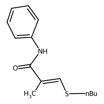 CCCCSC=C(C)C(=O)Nc1ccccc1